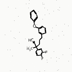 C#CC(C)(CCCc1cccc(Oc2ccccc2)c1)c1ccc(F)c(F)c1